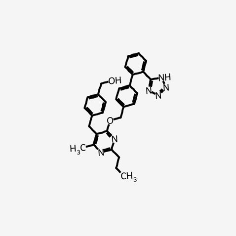 CCCc1nc(C)c(Cc2ccc(CO)cc2)c(OCc2ccc(-c3ccccc3-c3nnn[nH]3)cc2)n1